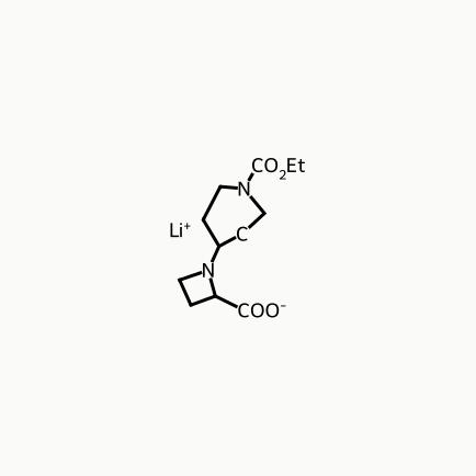 CCOC(=O)N1CCC(N2CCC2C(=O)[O-])CC1.[Li+]